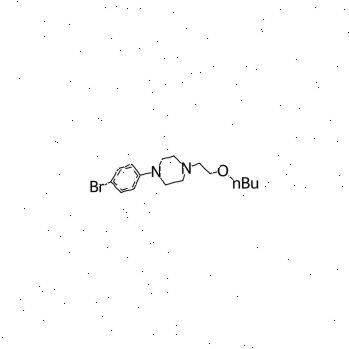 CCCCOCCN1CCN(c2ccc(Br)cc2)CC1